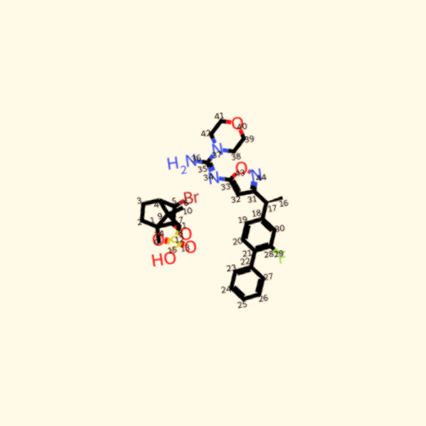 CC12CCC(C(Br)C1=O)C2(C)CS(=O)(=O)O.C[C@@H](c1ccc(-c2ccccc2)c(F)c1)c1cc(N=C(N)N2CCOCC2)on1